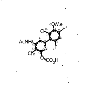 COc1c(F)cc(F)c(-c2cc(NC(C)=O)c(Cl)c(OC(=O)O)n2)c1Cl